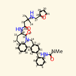 CNC(=O)Nc1ccccc1-c1ccc(CN2C(=O)[C@H](NC(=O)CC(C)(C)NCc3ccco3)CCc3ccccc32)cc1